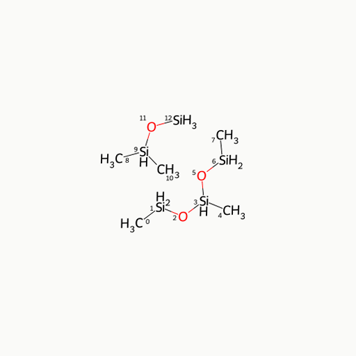 C[SiH2]O[SiH](C)O[SiH2]C.C[SiH](C)O[SiH3]